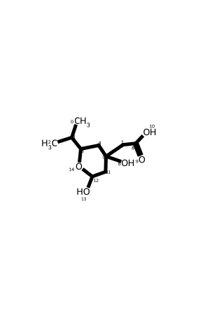 CC(C)C1CC(O)(CC(=O)O)CC(O)O1